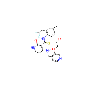 COCCOc1cnccc1CNC1=C(C(=S)NC2=C(CC(F)F)CC(C)C=C2)C(=O)NCC1